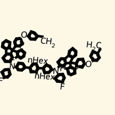 C=Cc1ccc(Oc2ccc(C3(c4c(F)cccc4F)c4ccccc4-c4ccc(N(c5ccc(F)cc5)c5ccc(-c6cc(CCCCCC)c(-c7ccc(N(c8ccc(F)cc8)c8ccc9c(c8)C(c8ccc(Oc%10ccc(C=C)cc%10)cc8)(c8c(F)cccc8F)c8ccccc8-9)cc7)cc6CCCCCC)cc5)cc43)cc2)cc1